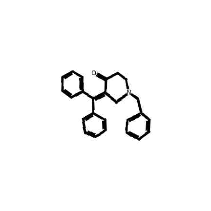 O=C1CCN(Cc2ccccc2)CC1=C(c1ccccc1)c1ccccc1